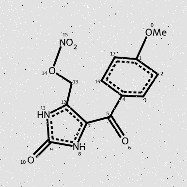 COc1ccc(C(=O)c2[nH]c(=O)[nH]c2CO[N+](=O)[O-])cc1